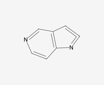 C1=Cc2cnccc2N=1